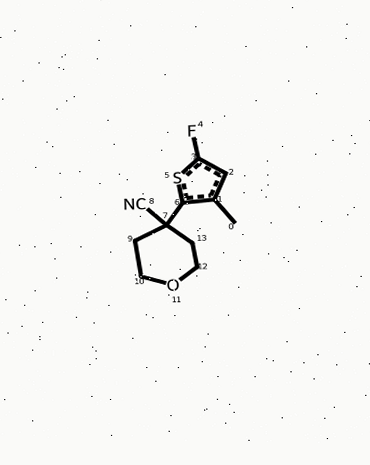 Cc1cc(F)sc1C1(C#N)CCOCC1